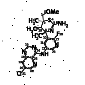 COC[C@@]1(C)SC(N)=N[C@](C)(c2cc(Nc3ncnc4cc(Cl)cnc34)cnc2F)C1C